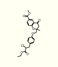 CCOC(=O)C(Cl)Cc1ccc(OCC2(C)CC(=O)c3cc(C(=O)OC)ccc3O2)cc1